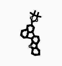 CC1(C)OB(c2cc3c4c(cccc4c2)-c2c-3ccc3c2oc2ccccc23)OC1(C)C